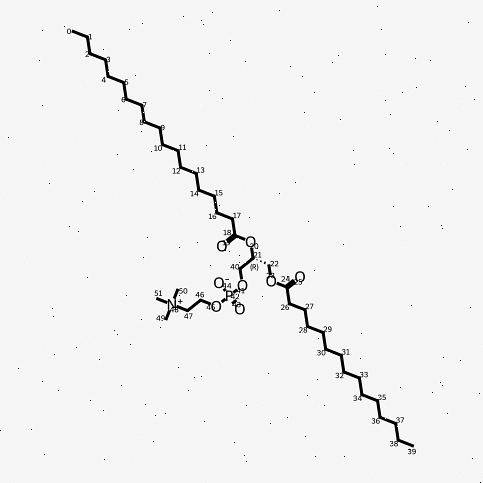 CCCCCCCCCCCCCCCCCCC(=O)O[C@H](COC(=O)CCCCCCCCCCCCCC)COP(=O)([O-])OCC[N+](C)(C)C